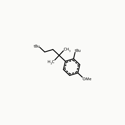 COc1ccc(C(C)(C)CCC(C)(C)C)c(C(C)(C)C)c1